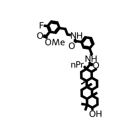 CCCC1(C(=O)NCc2cccc(C(=O)NCCc3ccc(F)c(C(=O)OC)c3)c2)CC[C@]2(C)C(CCC3C4(C)CCC(O)C(C)(C)C4CCC32C)C1C